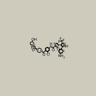 Cn1c(-c2c(C(F)(F)F)n[nH]c2-c2ccc(N)cn2)cnc1C(=O)Nc1ccc(C(=O)N2CCN(C(=O)C[N+]3(C)CCC(O)C3)CC2)c(Cl)c1